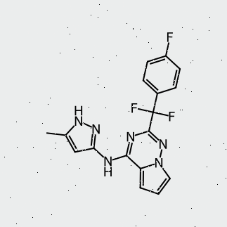 Cc1cc(Nc2nc(C(F)(F)c3ccc(F)cc3)nn3cccc23)n[nH]1